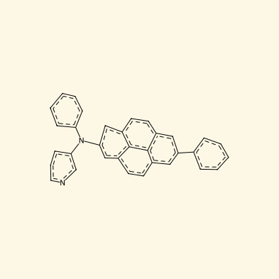 c1ccc(-c2cc3ccc4cc(N(c5ccccc5)c5cccnc5)cc5ccc(c2)c3c45)cc1